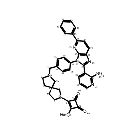 COc1c(N2CC[C@]3(CCN(Cc4ccc(-n5c(-c6cccnc6N)nc6ccc(-c7ccccc7)nc65)cc4)C3)C2)c(=O)c1=O